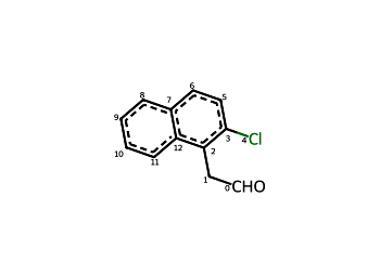 O=CCc1c(Cl)ccc2ccccc12